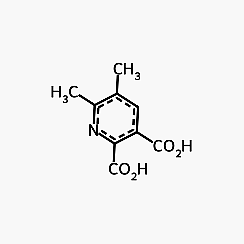 Cc1cc(C(=O)O)c(C(=O)O)nc1C